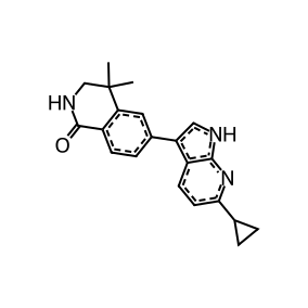 CC1(C)CNC(=O)c2ccc(-c3c[nH]c4nc(C5CC5)ccc34)cc21